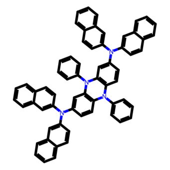 c1ccc(N2c3ccc(N(c4ccc5ccccc5c4)c4ccc5ccccc5c4)cc3N(c3ccccc3)c3cc(N(c4ccc5ccccc5c4)c4ccc5ccccc5c4)ccc32)cc1